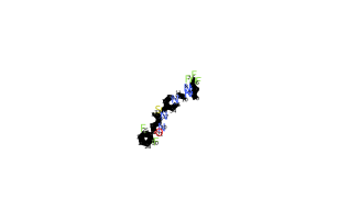 Cc1cc(C(F)(F)F)nn1C[CH]N1CCC(c2nc(C3=NO[C@H](c4c(F)cccc4F)C3)cs2)CC1